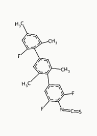 Cc1cc(C)c(-c2cc(C)c(-c3cc(F)c(N=C=S)c(F)c3)c(C)c2)c(F)c1